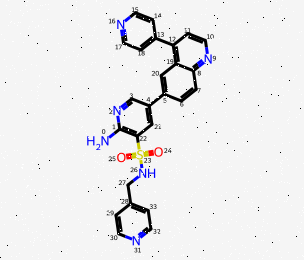 Nc1ncc(-c2ccc3nccc(-c4ccncc4)c3c2)cc1S(=O)(=O)NCc1ccncc1